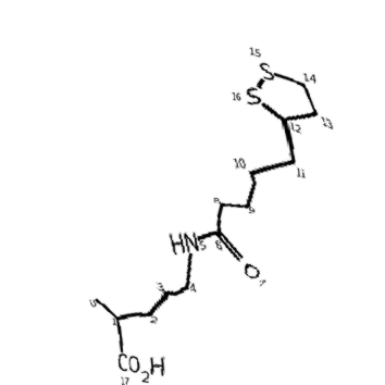 CC(CCCNC(=O)CCCCC1CCSS1)C(=O)O